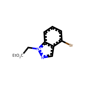 CCOC(=O)Cn1ncc2c(Br)cccc21